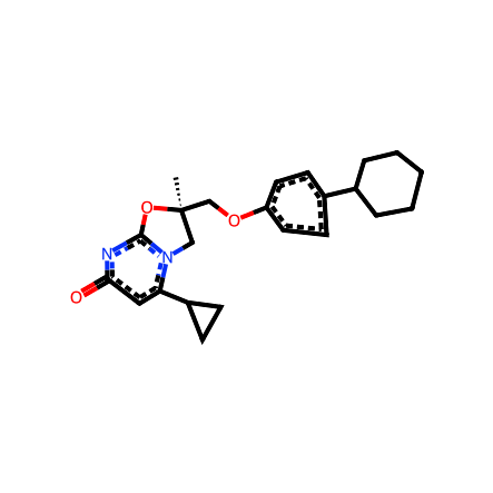 C[C@]1(COc2ccc(C3CCCCC3)cc2)Cn2c(C3CC3)cc(=O)nc2O1